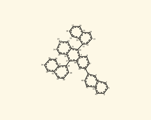 c1ccc2cc(-c3ccc4c(-c5cccc6ccccc56)c5cnccc5c(-c5cccc6ccccc56)c4c3)ccc2c1